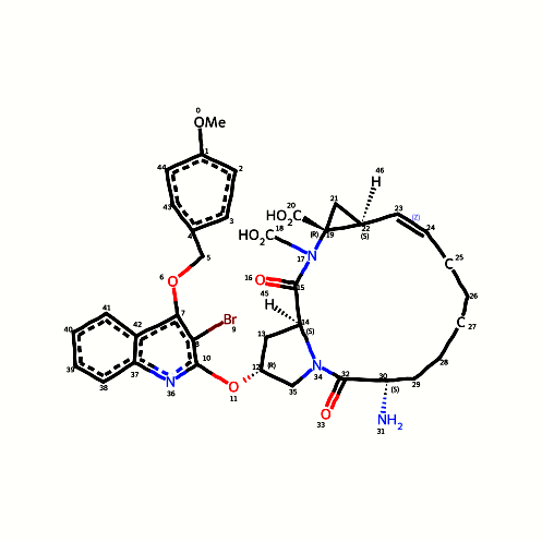 COc1ccc(COc2c(Br)c(O[C@@H]3C[C@H]4C(=O)N(C(=O)O)[C@]5(C(=O)O)C[C@H]5/C=C\CCCCC[C@H](N)C(=O)N4C3)nc3ccccc23)cc1